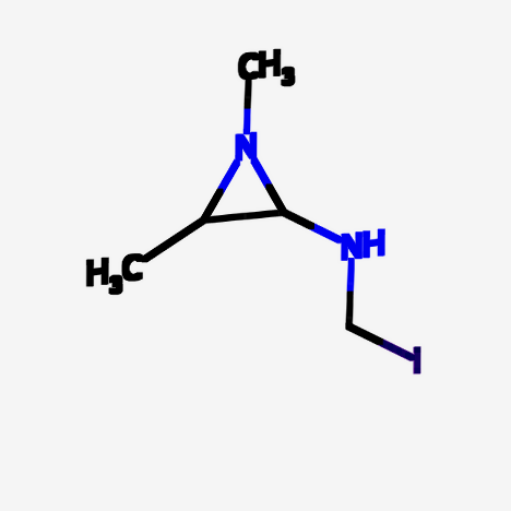 CC1C(NCI)N1C